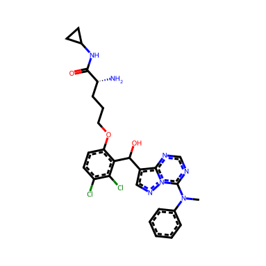 CN(c1ccccc1)c1ncnc2c(C(O)c3c(OCCC[C@@H](N)C(=O)NC4CC4)ccc(Cl)c3Cl)cnn12